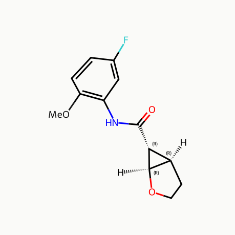 COc1ccc(F)cc1NC(=O)[C@@H]1[C@H]2CCO[C@H]21